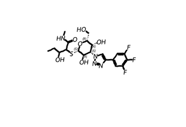 CCC(O)C(S[C@@H]1O[C@H](CO)[C@H](O)[C@H](n2cc(-c3cc(F)c(F)c(F)c3)nn2)[C@H]1O)C(=O)NC